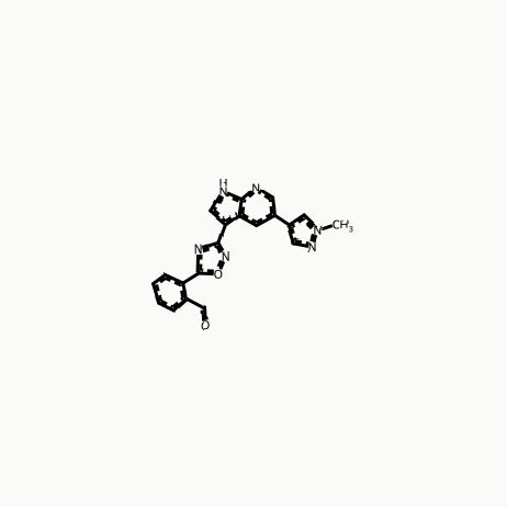 Cn1cc(-c2cnc3[nH]cc(-c4noc(-c5ccccc5C=O)n4)c3c2)cn1